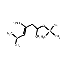 CC(CC(=CN(C)C)C(=O)O)O[Si](C)(C)C(C)(C)C